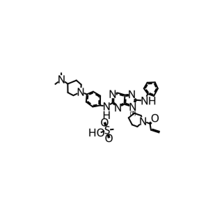 C=CC(=O)N1CCC[C@H](n2c(Nc3ccccc3)nc3cnc(Nc4ccc(N5CCC(N(C)C)CC5)cc4)nc32)C1.CS(=O)(=O)O